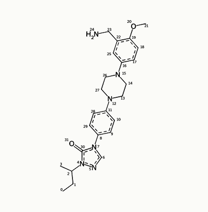 CCC(C)n1ncn(-c2ccc(N3CCN(c4ccc(OC)c(CN)c4)CC3)cc2)c1=O